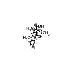 CCc1nc2c(c(OC(C)C)c(C(=O)O)n2C)c(=O)n1Cc1cccc(Cl)c1